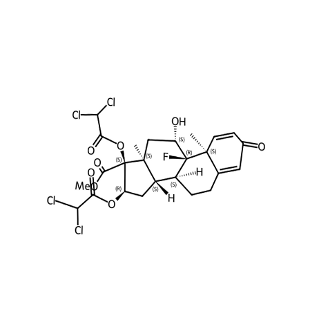 COC(=O)[C@@]1(OC(=O)C(Cl)Cl)[C@H](OC(=O)C(Cl)Cl)C[C@H]2[C@@H]3CCC4=CC(=O)C=C[C@]4(C)[C@@]3(F)[C@@H](O)C[C@@]21C